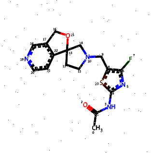 CC(=O)Nc1nc(F)c(CN2CCC3(C2)OCc2cnccc23)s1